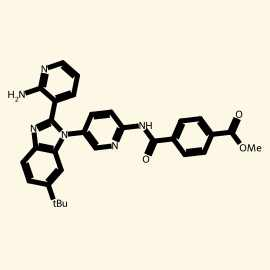 COC(=O)c1ccc(C(=O)Nc2ccc(-n3c(-c4cccnc4N)nc4ccc(C(C)(C)C)cc43)cn2)cc1